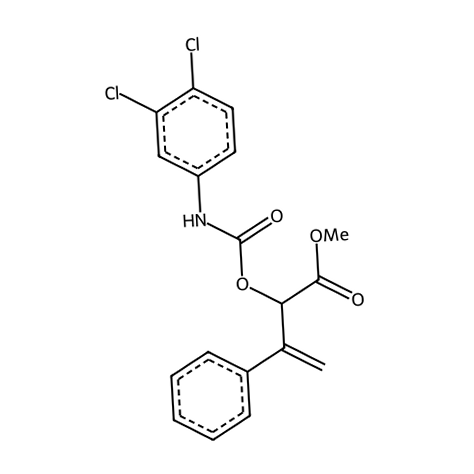 C=C(c1ccccc1)C(OC(=O)Nc1ccc(Cl)c(Cl)c1)C(=O)OC